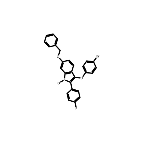 [O-][s+]1c(-c2ccc(F)cc2)c(Oc2ccc(Br)cc2)c2ccc(OCc3ccccc3)cc21